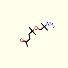 CC(=O)CCC(C)(C)OCC(C)(C)N